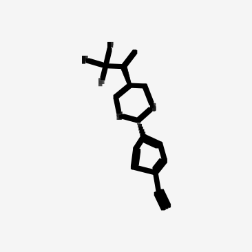 C#Cc1ccc([C@H]2SC[C@H](C(C)C(F)(F)F)CS2)cc1